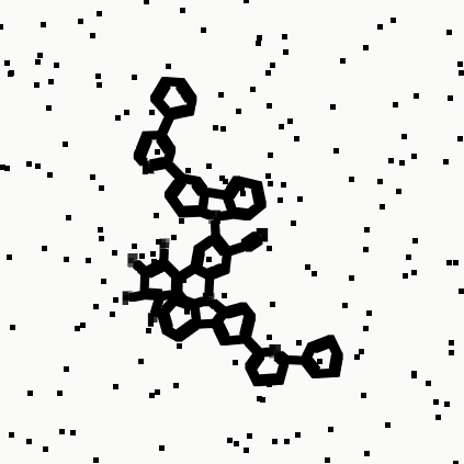 N#Cc1cc(-n2c3ccccc3c3cc(-c4cccc(-c5ccccc5)n4)ccc32)c(-c2c(F)c(F)c(F)c(F)c2F)cc1-n1c2ccccc2c2cc(-c3cc(-c4ccccc4)ccn3)ccc21